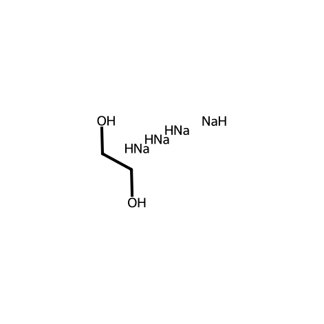 OCCO.[NaH].[NaH].[NaH].[NaH]